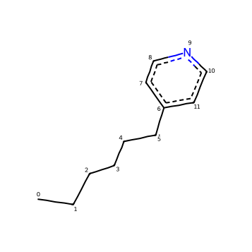 CCCCC[CH]c1ccncc1